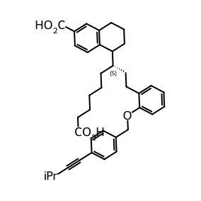 CC(C)C#Cc1ccc(COc2ccccc2CC[C@H](CCCCCC(=O)O)C2CCCc3cc(C(=O)O)ccc32)cc1